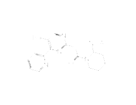 CC(=O)NC1CCCCN1C(=O)Oc1ncc(C(C)(C)C)c(-c2ccccn2)n1